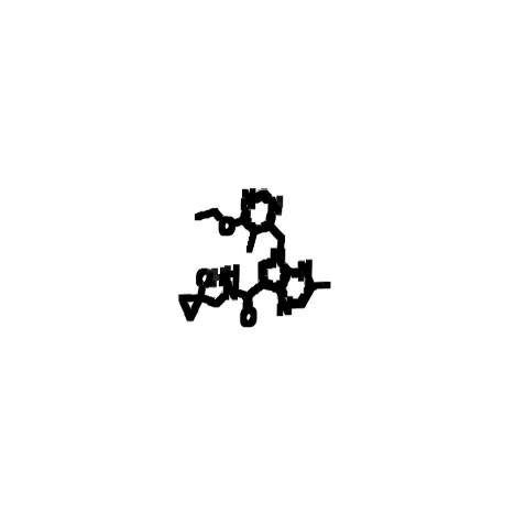 CCOc1ncnc(Cn2cc(C(=O)NCC3(O)CC3)c3ncc(C)nc32)c1C